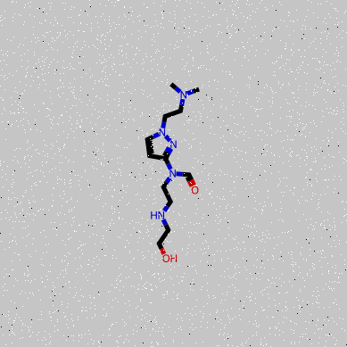 CN(C)CCn1ccc(N(C=O)CCNCCO)n1